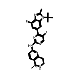 Cc1nc2c(F)cc(-c3nc(Nc4ccc5c(n4)CCN[C@H]5C)ncc3F)cc2n1C(C)(C)C